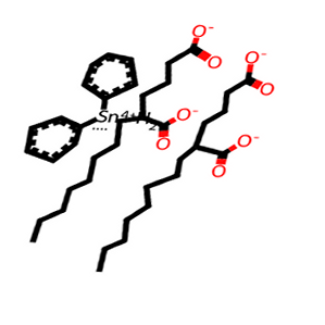 CCCCCCCCC(CCCC(=O)[O-])C(=O)[O-].CCCCCCCCC(CCCC(=O)[O-])C(=O)[O-].c1cc[c]([SnH2+4][c]2ccccc2)cc1